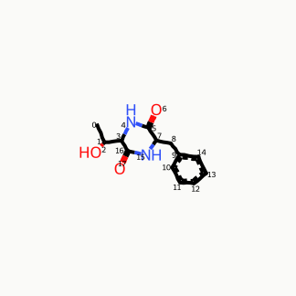 CC(O)C1NC(=O)C(Cc2ccccc2)NC1=O